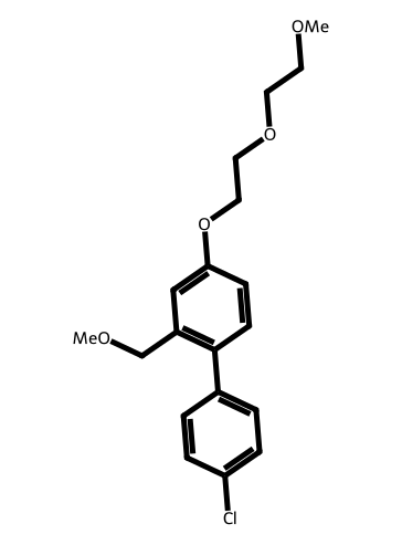 COCCOCCOc1ccc(-c2ccc(Cl)cc2)c(COC)c1